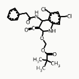 CC(C)(C)C(=O)OCOC1Nc2cc(Cl)cc(Cl)c2C(NC(=O)Cc2ccccc2)C1=C=O